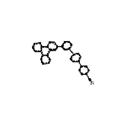 N#Cc1ccc(-c2ccc(-c3cccc(-c4ccc5c6ccccc6c6ccccc6c5c4)c3)cc2)cc1